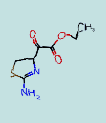 CCOC(=O)C(=O)C1CSC(N)=N1